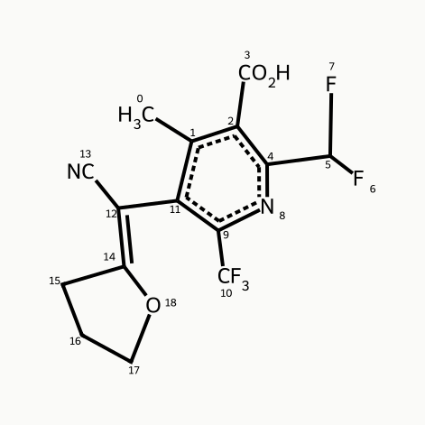 Cc1c(C(=O)O)c(C(F)F)nc(C(F)(F)F)c1/C(C#N)=C1/CCCO1